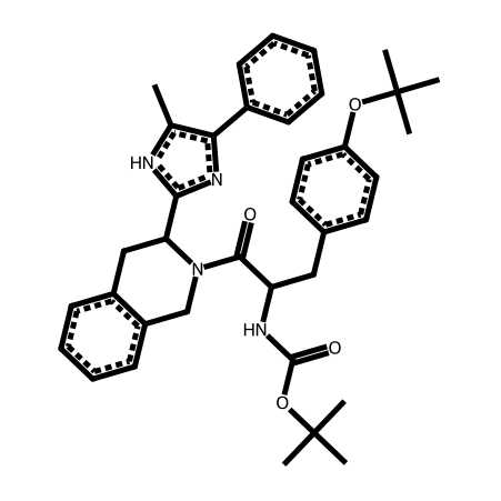 Cc1[nH]c(C2Cc3ccccc3CN2C(=O)C(Cc2ccc(OC(C)(C)C)cc2)NC(=O)OC(C)(C)C)nc1-c1ccccc1